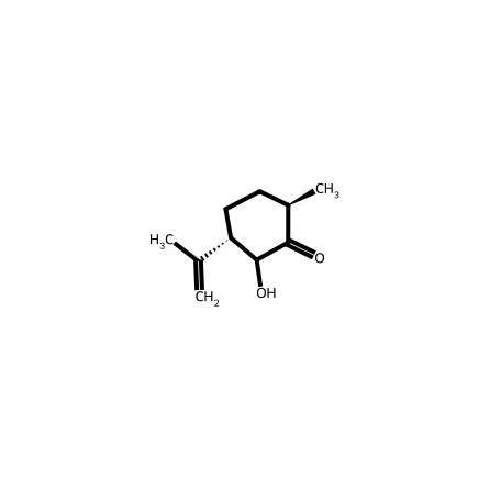 C=C(C)[C@@H]1CC[C@@H](C)C(=O)C1O